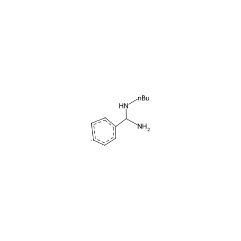 CCCCNC(N)c1cc[c]cc1